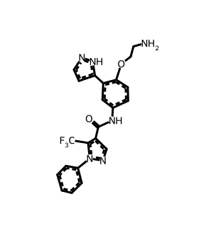 NCCOc1ccc(NC(=O)c2cnn(-c3ccccc3)c2C(F)(F)F)cc1-c1ccn[nH]1